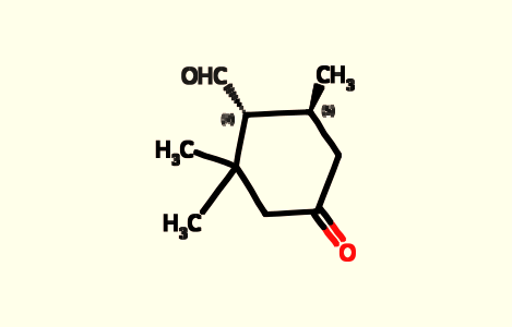 C[C@H]1CC(=O)CC(C)(C)[C@@H]1C=O